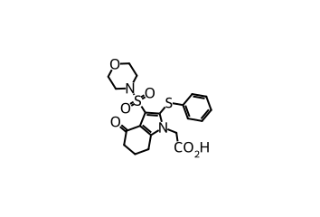 O=C(O)Cn1c2c(c(S(=O)(=O)N3CCOCC3)c1Sc1ccccc1)C(=O)CCC2